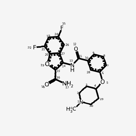 CN1CCC(Oc2cccc(C(=O)Nc3c(C(N)=O)oc4c(F)cc(F)cc34)c2)CC1